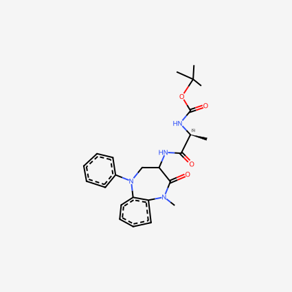 C[C@H](NC(=O)OC(C)(C)C)C(=O)NC1CN(c2ccccc2)c2ccccc2N(C)C1=O